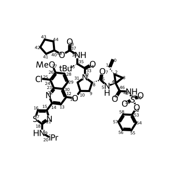 C=C[C@@H]1C[C@]1(NC(=O)[C@@H]1CC(Oc2cc(-c3csc(NC(C)C)n3)nc3c(Cl)c(OC)ccc23)CN1C(=O)[C@@H](NC(=O)OC1CCCC1)C(C)(C)C)C(=O)NS(=O)(=O)Oc1ccccc1